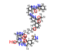 Cc1ncsc1-c1ccc(C(C)NC(=O)[C@@H]2C[C@@H](O)CN2C(=O)C(NC(=O)CCCCCOc2cccc(-c3ccc(N4CCc5cccc(C(=O)Nc6nc7ccccc7s6)c5C4)nc3C(=O)OC(C)(C)C)c2C)C(C)(C)C)cc1